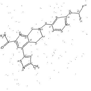 Cc1cc(-c2cc(C(N)=O)nc3c2CCN(Cc2ccnc(OC(F)F)c2)C3)sn1